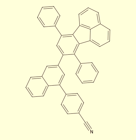 N#Cc1ccc(-c2cc(-c3cc(-c4ccccc4)c4c(c3-c3ccccc3)-c3cccc5cccc-4c35)cc3ccccc23)cc1